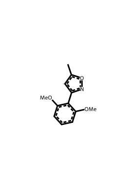 COc1cccc(OC)c1-c1[c]c(C)on1